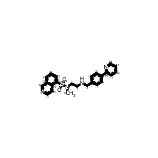 CN(CCNCc1ccc(-c2ccccn2)cc1)S(=O)(=O)c1cccc2cnccc12